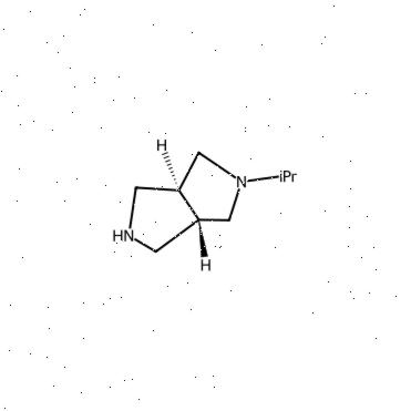 CC(C)N1C[C@@H]2CNC[C@H]2C1